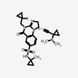 CN(C)C1(C#C[C@H]2CN=C3N(CC4(F)CC4)C(=O)c4cc(S(=O)(=O)NC5(C)CC5)ccc4N32)CC1